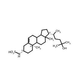 CC(CCC(C)(C)O)[C@H]1CCC2C3CC=C4C[C@@H](NS(=O)(=O)O)CC[C@]4(C)C3CCC21C